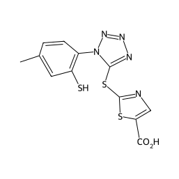 Cc1ccc(-n2nnnc2Sc2ncc(C(=O)O)s2)c(S)c1